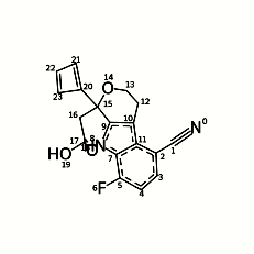 N#Cc1ccc(F)c2[nH]c3c(c12)CCOC3(CC(=O)O)C1=CC=C1